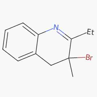 CCC1=Nc2ccccc2CC1(C)Br